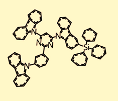 c1ccc([Si](c2ccccc2)(c2ccccc2)c2ccc3c(c2)c2ccccc2n3-c2cc(-n3c4ccccc4c4ccccc43)nc(-c3cccc(-n4c5ccccc5c5ccccc54)c3)n2)cc1